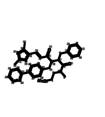 COCCN(C)C(=O)C(Cc1ccccc1)N(Cc1ccc(-c2ccccn2)cc1)C(=O)C=Cc1sc(C)nc1C